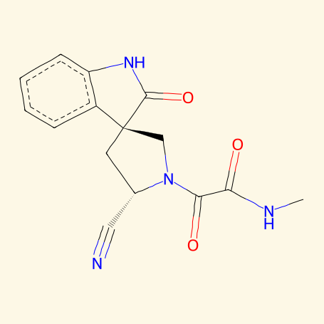 CNC(=O)C(=O)N1C[C@]2(C[C@H]1C#N)C(=O)Nc1ccccc12